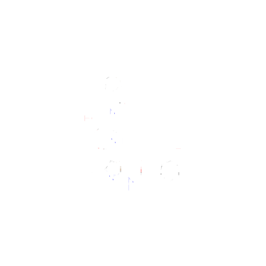 O=C(Cc1cccc(O)c1)Nc1nc(Cl)c(C(=O)N[C@@H](CNC(=O)c2cccs2)C(=O)O)s1